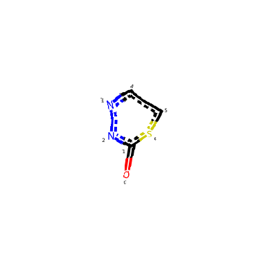 O=c1nnccs1